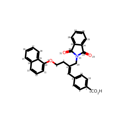 O=C(O)c1ccc(/C=C(/CCOc2cccc3ccccc23)CN2C(=O)c3ccccc3C2=O)cc1